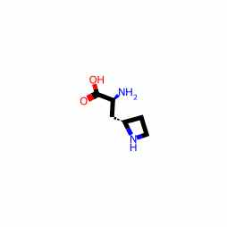 N[C@@H](C[C@@H]1CCN1)C(=O)O